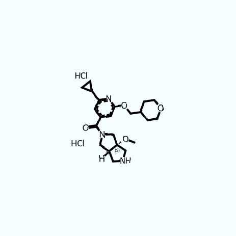 CO[C@]12CNC[C@@H]1CN(C(=O)c1cc(OCC3CCOCC3)nc(C3CC3)c1)C2.Cl.Cl